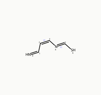 N=C/C=C\N=C\S